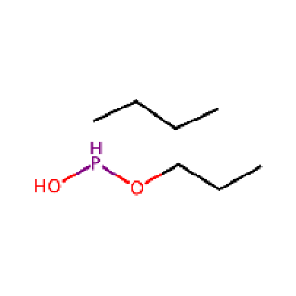 CCCC.CCCOPO